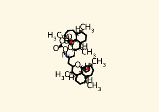 CC(=O)O/N=C(/CC1O[C@@H]2O[C@]3(C)CC[C@H]4[C@H](C)CC[C@@H]([C@H]1C)[C@@]24OO3)C[C@H]1O[C@@H]2O[C@]3(C)CC[C@H]4[C@H](C)CC[C@@H]([C@H]1C)[C@@]24OO3